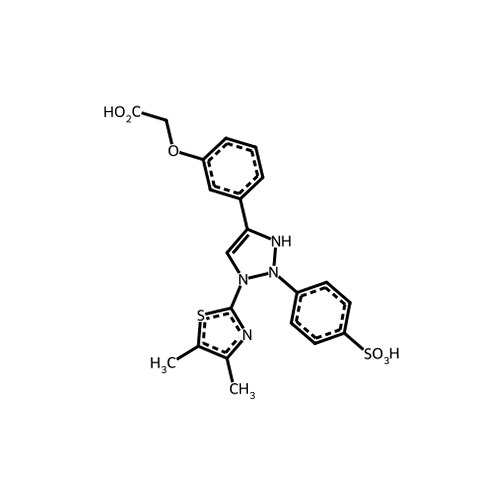 Cc1nc(N2C=C(c3cccc(OCC(=O)O)c3)NN2c2ccc(S(=O)(=O)O)cc2)sc1C